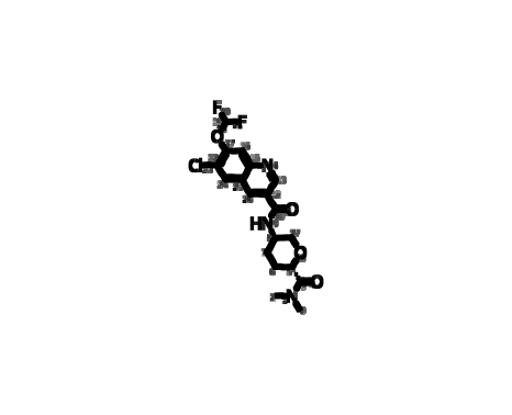 CN(C)C(=O)[C@@H]1CC[C@@H](NC(=O)c2cnc3cc(OC(F)F)c(Cl)cc3c2)CO1